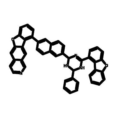 c1ccc(C2NC(c3cccc4oc5ccccc5c34)=NC(c3ccc4cc(-c5cccc6oc7cc8ccncc8cc7c56)ccc4c3)N2)cc1